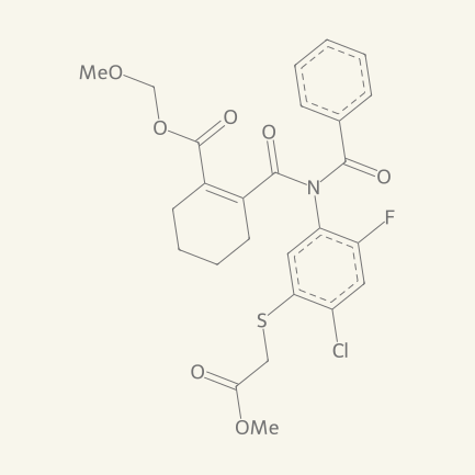 COCOC(=O)C1=C(C(=O)N(C(=O)c2ccccc2)c2cc(SCC(=O)OC)c(Cl)cc2F)CCCC1